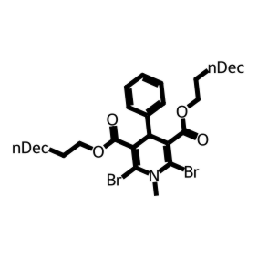 CCCCCCCCCCCCOC(=O)C1=C(Br)N(C)C(Br)=C(C(=O)OCCCCCCCCCCCC)C1c1ccccc1